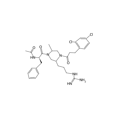 CC(=O)N[C@H](Cc1ccccc1)C(=O)N1CC(CCCNC(=N)N)N(C(=O)CCc2ccc(Cl)cc2Cl)CC1C